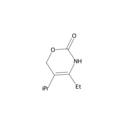 CCC1=C(C(C)C)COC(=O)N1